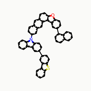 c1ccc2c(-c3ccc4oc5ccc6cc7ccc(-n8c9ccccc9c9cc(-c%10ccc%11sc%12ccccc%12c%11c%10)ccc98)cc7cc6c5c4c3)cccc2c1